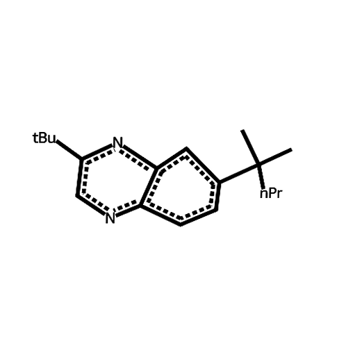 CCCC(C)(C)c1ccc2ncc(C(C)(C)C)nc2c1